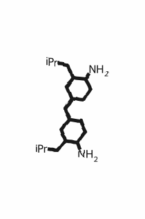 CC(C)CC1CC(CC2CCC(N)C(CC(C)C)C2)CCC1N